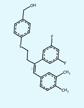 Cc1ccc(/C=C(/CCSc2ccc(CO)cc2)c2cc(F)cc(F)c2)cc1C